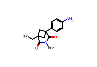 CCCN1C(=O)C2(CC(C)C)CC(c3ccc(N)cc3)(C2)C1=O